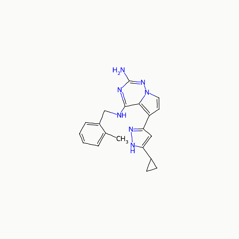 Cc1ccccc1CNc1nc(N)nn2ccc(-c3cc(C4CC4)[nH]n3)c12